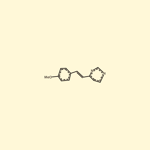 COc1ccc(/C=C/c2ccncn2)cc1